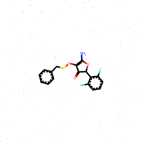 NC1=C(OSCc2ccccc2)C(=O)C(c2c(F)cccc2F)O1